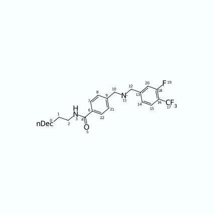 CCCCCCCCCCCCNC(=O)c1ccc(C[N]Cc2ccc(C(F)(F)F)c(F)c2)cc1